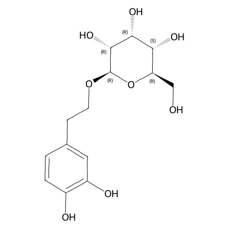 OC[C@H]1O[C@@H](OCCc2ccc(O)c(O)c2)[C@H](O)[C@H](O)[C@@H]1O